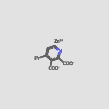 CC(C)c1ccnc(C(=O)[O-])c1C(=O)[O-].[Zn+2]